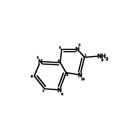 Nc1ncc2nccnc2n1